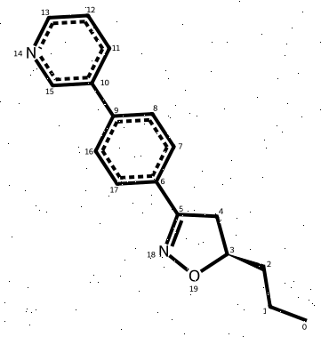 CCC[C@@H]1CC(c2ccc(-c3cccnc3)cc2)=NO1